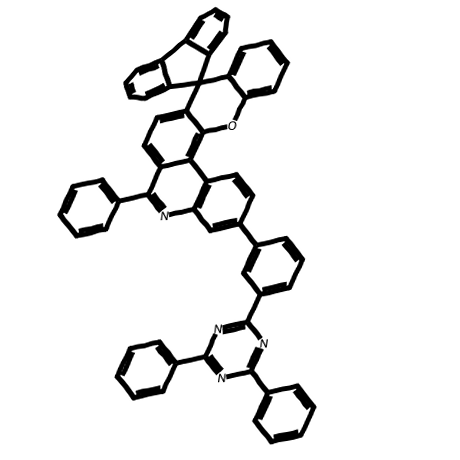 c1ccc(-c2nc(-c3ccccc3)nc(-c3cccc(-c4ccc5c(c4)nc(-c4ccccc4)c4ccc6c(c45)Oc4ccccc4C64c5ccccc5-c5ccccc54)c3)n2)cc1